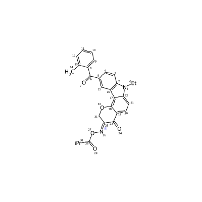 CCn1c2ccc(C(=O)c3ccccc3C)cc2c2c3c(ccc21)C(=O)/C(=N/OC(=O)C(C)C)CO3